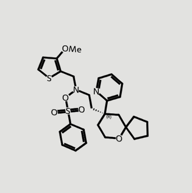 COc1ccsc1CN(CC[C@@]1(c2ccccn2)CCOC2(CCCC2)C1)OS(=O)(=O)c1ccccc1